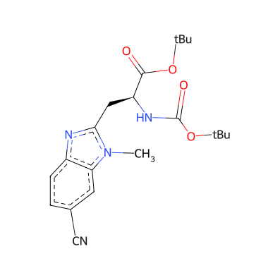 Cn1c(C[C@H](NC(=O)OC(C)(C)C)C(=O)OC(C)(C)C)nc2ccc(C#N)cc21